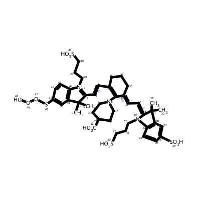 CC1(C)C(/C=C/C2=C(N3CCC(C(=O)O)CC3)C(=C/C=C3\N(CCCS(=O)(=O)O)c4ccc(S(=O)(=O)O)cc4C3(C)C)/CCC2)=[N+](CCCS(=O)(=O)O)c2ccc(SOOO)cc21